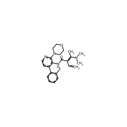 C=C/C(C(=O)Nc1c(-c2ccccc2F)ccnc1N1CCOCC1)=C(/C)N(C)C